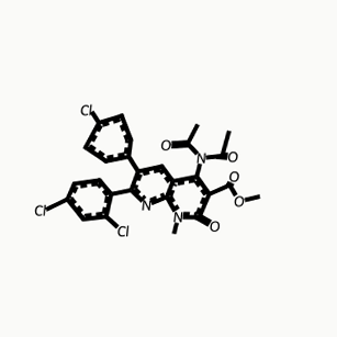 COC(=O)c1c(N(C(C)=O)C(C)=O)c2cc(-c3ccc(Cl)cc3)c(-c3ccc(Cl)cc3Cl)nc2n(C)c1=O